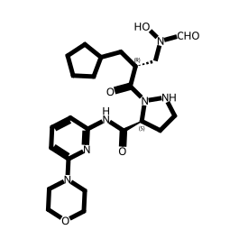 O=CN(O)C[C@@H](CC1CCCC1)C(=O)N1NCC[C@H]1C(=O)Nc1cccc(N2CCOCC2)n1